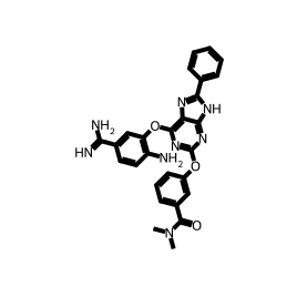 CN(C)C(=O)c1cccc(Oc2nc(Oc3cc(C(=N)N)ccc3N)c3nc(-c4ccccc4)[nH]c3n2)c1